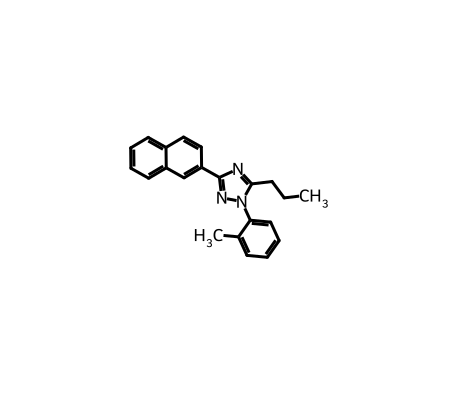 CCCc1nc(-c2ccc3ccccc3c2)nn1-c1ccccc1C